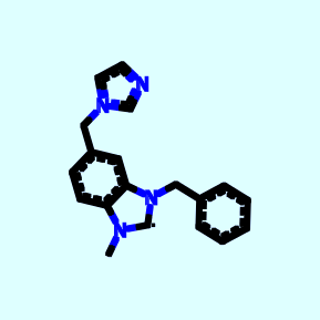 CN1[CH]N(Cc2ccccc2)c2cc(Cn3ccnc3)ccc21